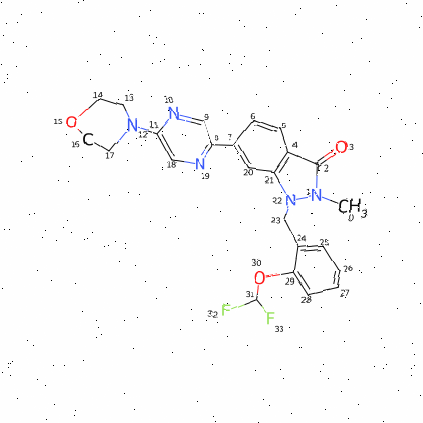 Cn1c(=O)c2ccc(-c3cnc(N4CCOCC4)cn3)cc2n1Cc1ccccc1OC(F)F